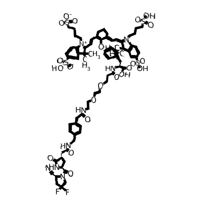 CC1(C)C(/C=C/C2=C(Oc3ccc(C[C@H](NC(=O)CCOCCOCCNC(=O)Cc4ccc(CNC(=O)C[C@@H]5C[C@@H](C(=O)N6CC(F)(F)C[C@H]6C#N)NC5=O)cc4)C(=O)O)cc3)C(=C/C=C3/N(CCCCS(=O)(=O)O)c4ccc(S(=O)(=O)O)cc4C3(C)C)/CCC2)=[N+](CCCCS(=O)(=O)[O-])c2ccc(S(=O)(=O)O)cc21